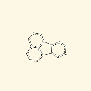 c1cc2c3c(cccc3c1)-c1cnccc1-2